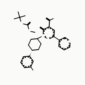 CC(C)(C)OC(=O)NC[C@]1(n2nc(-c3cccnc3)cc(C(=O)O)c2=O)CC[C@@H](c2cccc(Cl)c2)CC1